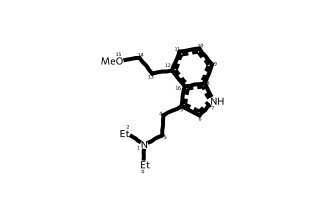 CCN(CC)CCc1c[nH]c2cccc(CCOC)c12